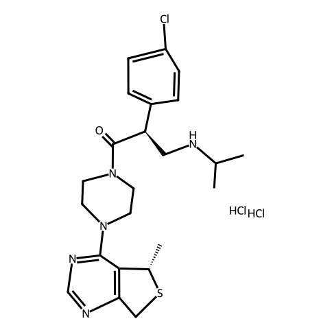 CC(C)NC[C@@H](C(=O)N1CCN(c2ncnc3c2[C@H](C)SC3)CC1)c1ccc(Cl)cc1.Cl.Cl